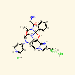 CC(=O)N(C(=O)CN)C(Oc1cccn2cc(C)nc12)(c1ccccc1)N1CCN(c2ccncc2)CC1.Cl.Cl.Cl.Cl